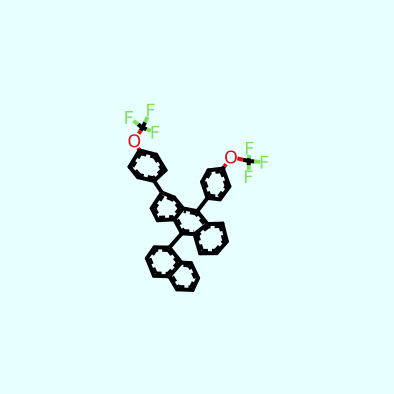 FC(F)(F)Oc1ccc(-c2ccc3c(-c4cccc5ccccc45)c4ccccc4c(-c4ccc(OC(F)(F)F)cc4)c3c2)cc1